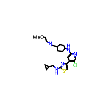 COCC/N=C/C1CCC(Nc2cc(-c3csc(NCC4CC4)n3)c(Cl)cn2)CC1